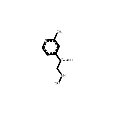 Cc1cc([C@H](O)CNC(C)(C)C)ccn1